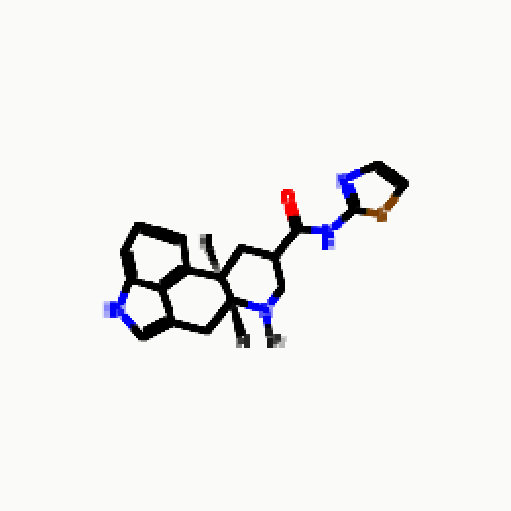 CC(C)N1CC(C(=O)Nc2nccs2)C[C@@H]2c3cccc4[nH]cc(c34)C[C@H]21